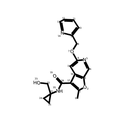 Cc1oc2cnc(OCc3ccccn3)cc2c1C(=O)NC1(CO)CC1